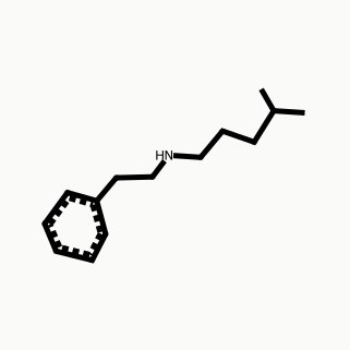 CC(C)CCCNCCc1ccccc1